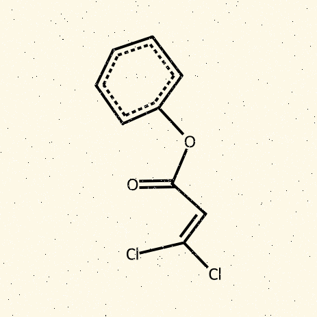 O=C(C=C(Cl)Cl)Oc1ccccc1